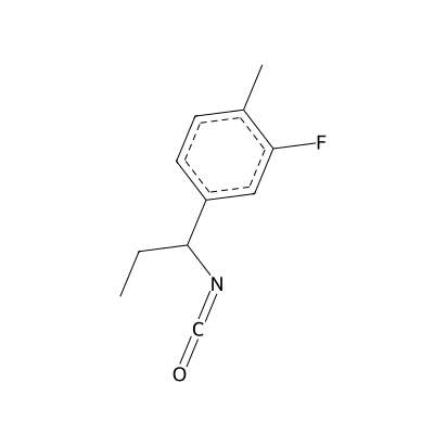 CCC(N=C=O)c1ccc(C)c(F)c1